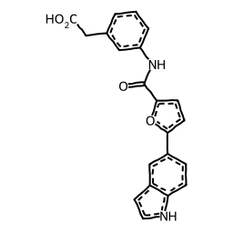 O=C(O)Cc1cccc(NC(=O)c2ccc(-c3ccc4[nH]ccc4c3)o2)c1